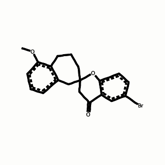 COc1cccc2c1CCCC1(CC(=O)c3cc(Br)ccc3O1)C2